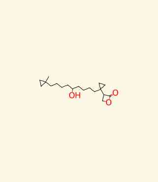 CC1(CCCCC(O)CCCCC2(C3COC3=O)CC2)CC1